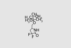 CC(C)(C)[Si](C)(C)OCC1CC(F)(F)C(=O)N1